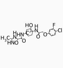 CC1NOC(C(=O)NC23CCC(NC(=O)COc4ccc(Cl)c(F)c4)(CC2)C(O)C3)N1